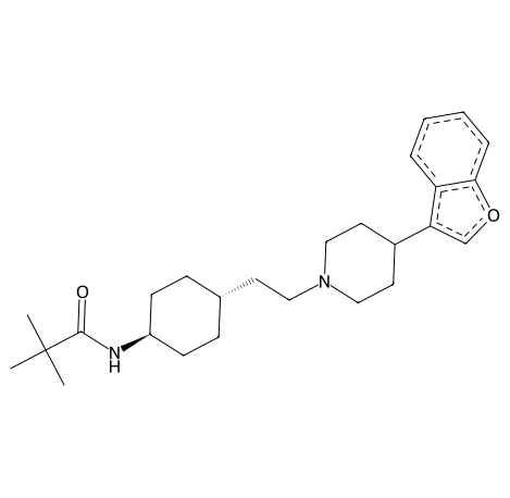 CC(C)(C)C(=O)N[C@H]1CC[C@H](CCN2CCC(c3coc4ccccc34)CC2)CC1